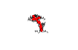 Cc1ncsc1-c1ccc(CNC(=O)[C@@H]2C[C@@H](O)CN2C(=O)[C@@H](NC(=O)C2(F)CC2)C(C)(C)C)c(OCCCCN2CCC(CCCC(=O)Nc3cccc(Sc4cnc(N5CCC(C)(CN)CC5)cn4)c3Cl)CC2)c1